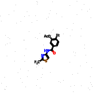 CCc1ccc(C(=O)Nc2csc(C(F)(F)F)n2)cc1OC(C)=O